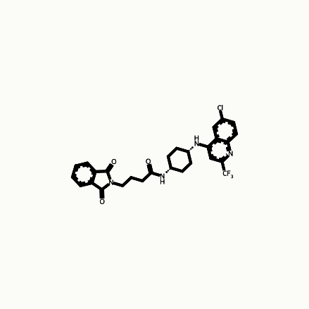 O=C(CCCN1C(=O)c2ccccc2C1=O)N[C@H]1CC[C@@H](Nc2cc(C(F)(F)F)nc3ccc(Cl)cc23)CC1